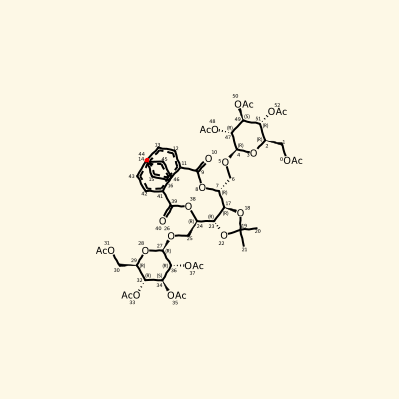 CC(=O)OC[C@H]1O[C@@H](OC[C@@H](OC(=O)c2ccccc2)[C@H]2OC(C)(C)O[C@@H]2[C@@H](CO[C@@H]2O[C@H](COC(C)=O)[C@@H](OC(C)=O)[C@H](OC(C)=O)[C@H]2OC(C)=O)OC(=O)c2ccccc2)[C@H](OC(C)=O)[C@@H](OC(C)=O)[C@@H]1OC(C)=O